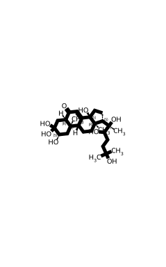 CC(C)(O)CCC(O)[C@](C)(O)[C@H]1CC[C@@]2(O)C3=CC(=O)[C@@H]4CC(O)(O)[C@@H](O)C[C@]4(C)[C@H]3CC[C@]12C